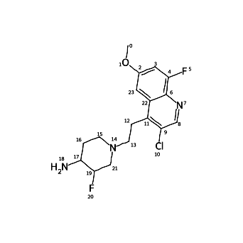 COc1cc(F)c2ncc(Cl)c(CCN3CCC(N)C(F)C3)c2c1